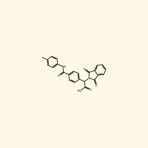 Cc1ccc(NC(=O)c2ccc(C(C(=O)O)N3C(=O)c4ccccc4C3=O)cc2)cc1